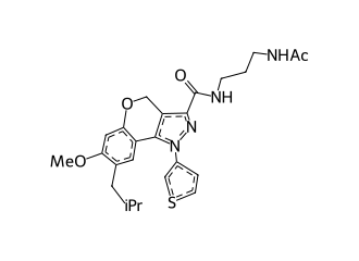 COc1cc2c(cc1CC(C)C)-c1c(c(C(=O)NCCCNC(C)=O)nn1-c1ccsc1)CO2